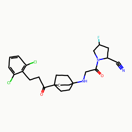 N#CC1CC(F)CN1C(=O)CNC12CCC(C(=O)CCc3c(Cl)cccc3Cl)(CC1)CC2